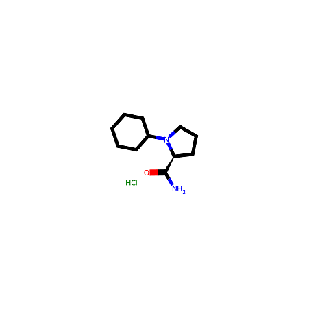 Cl.NC(=O)[C@@H]1CCCN1C1CCCCC1